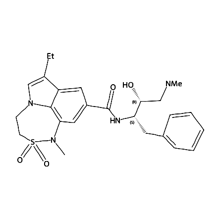 CCc1cn2c3c(cc(C(=O)N[C@@H](Cc4ccccc4)[C@H](O)CNC)cc13)N(C)S(=O)(=O)CC2